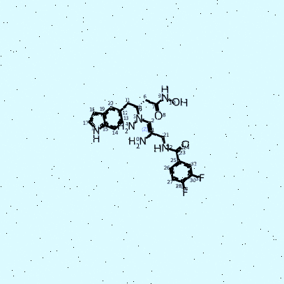 N/C(=C\N(N)[C@@H](CC(=O)NO)Cc1ccc2[nH]ccc2c1)CNC(=O)c1ccc(F)c(F)c1